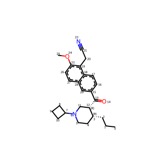 CCC[C@@H]1CCN(C2CCC2)C[C@@H]1C(=O)c1ccc2c(CC#N)c(OC)ccc2c1